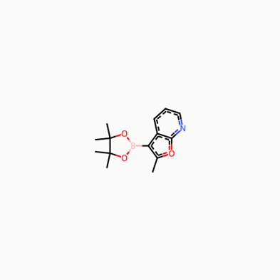 Cc1oc2ncccc2c1B1OC(C)(C)C(C)(C)O1